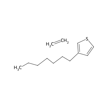 C=C.CCCCCCCc1ccsc1